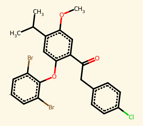 COc1cc(C(=O)Cc2ccc(Cl)cc2)c(Oc2c(Br)c[c]cc2Br)cc1C(C)C